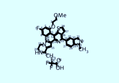 COCCOc1cc(F)cc(F)c1-c1c(-c2cc3n(n2)CCN[C@@H]3C)nc(-c2ccc3c(cnn3C)c2)c2ccsc12.O=C(O)C(F)(F)F